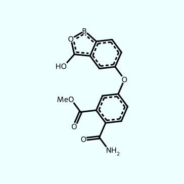 COC(=O)c1cc(Oc2ccc3boc(O)c3c2)ccc1C(N)=O